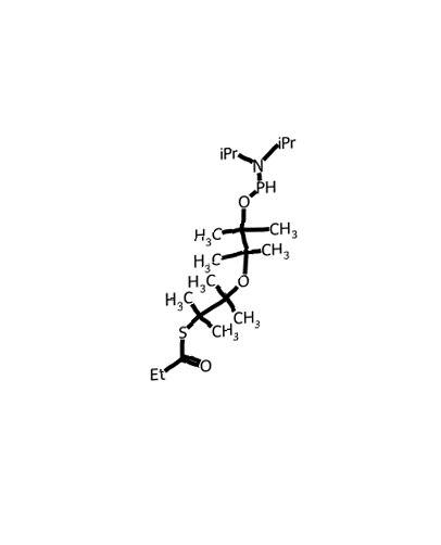 CCC(=O)SC(C)(C)C(C)(C)OC(C)(C)C(C)(C)OPN(C(C)C)C(C)C